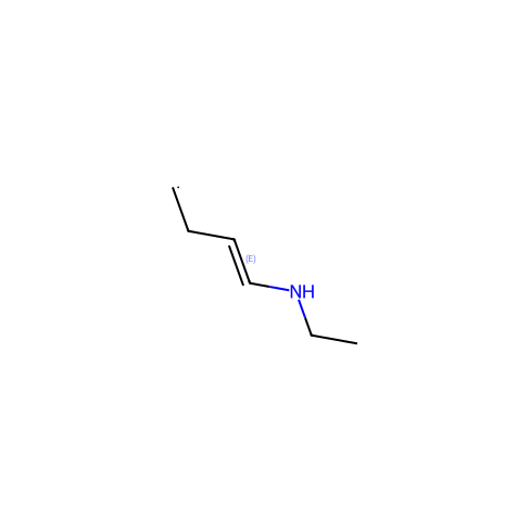 [CH2]C/C=C/NCC